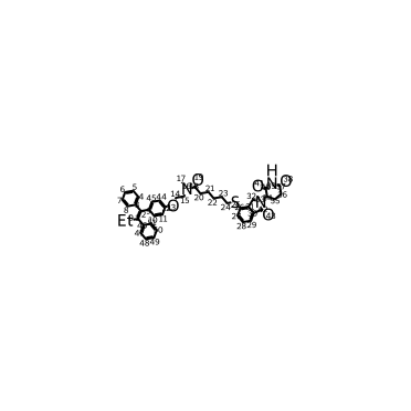 CC/C(=C(\c1ccccc1)c1ccc(OCCN(C)C(=O)CCCCCSc2cccc3c2CN(C2CCC(=O)NC2=O)C3=O)cc1)c1ccccc1